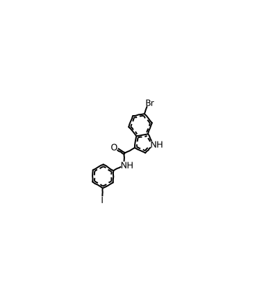 O=C(Nc1cccc(I)c1)c1c[nH]c2cc(Br)ccc12